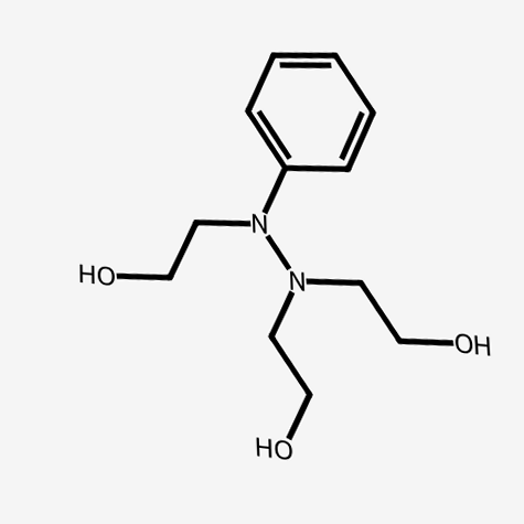 OCCN(CCO)N(CCO)c1ccccc1